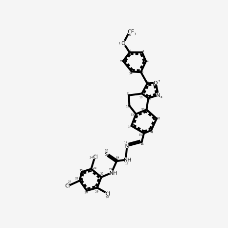 FC(F)(F)Oc1ccc(-c2onc3c2CCc2cc(C=NNC(=S)Nc4c(Cl)cc(Cl)cc4Cl)ccc2-3)cc1